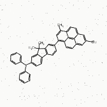 Cc1cc(-c2ccc3c(c2)C(C)(C)c2cc(N(c4ccccc4)c4ccccc4)ccc2-3)c2ccc3cc(C(C)(C)C)cc4ccc1c2c43